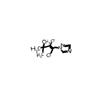 CC(C)(C)C(Cl)=C(Cl)n1cncn1